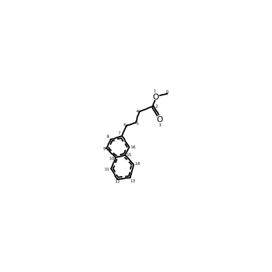 COC(=O)CCCc1ccc2ccccc2c1